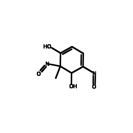 CC1(N=O)C(O)=CC=C(N=O)C1O